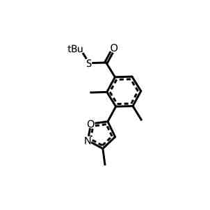 Cc1cc(-c2c(C)ccc(C(=O)SC(C)(C)C)c2C)on1